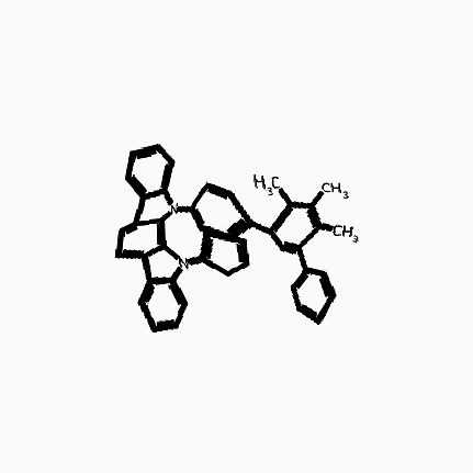 Cc1c(-c2ccccc2)cc(-c2ccc(-n3c4ccccc4c4ccc5c6ccccc6n(C6=CC=CC6)c5c43)cc2)c(C)c1C